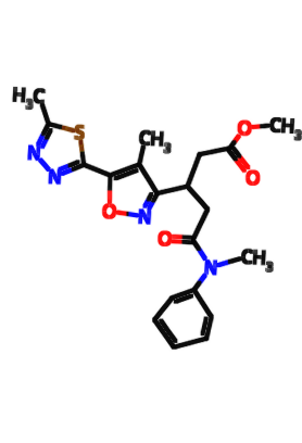 COC(=O)CC(CC(=O)N(C)c1ccccc1)c1noc(-c2nnc(C)s2)c1C